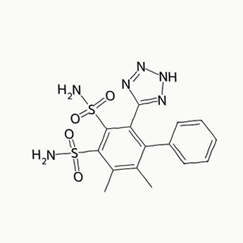 Cc1c(C)c(S(N)(=O)=O)c(S(N)(=O)=O)c(-c2nn[nH]n2)c1-c1ccccc1